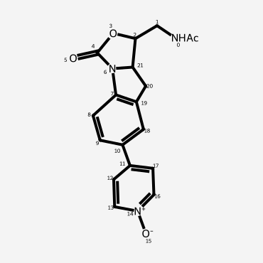 CC(=O)NCC1OC(=O)N2c3ccc(-c4cc[n+]([O-])cc4)cc3CC12